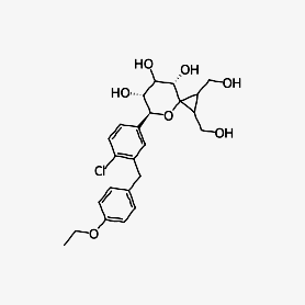 CCOc1ccc(Cc2cc([C@@H]3OC4(C(CO)C4CO)[C@@H](O)C(O)[C@H]3O)ccc2Cl)cc1